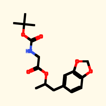 CC(Cc1ccc2c(c1)OCO2)OC(=O)CNC(=O)OC(C)(C)C